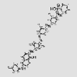 Cc1ccc(Nc2ccc3c(O)c(N=Nc4cc(C)c(N=Nc5ccc(N=Nc6ccc(N=Nc7ccccc7S(=O)(=O)O)c(C)c6)c(C)c5)cc4C)ccc3c2)cc1